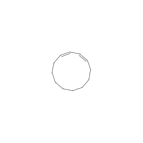 C1=CCCCCCCCCC=C1